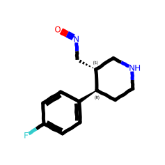 O=NC[C@@H]1CNCC[C@H]1c1ccc(F)cc1